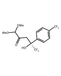 COC(OC)C(=O)C[C@](O)(c1ccc(C(F)(F)F)cc1)C(F)(F)F